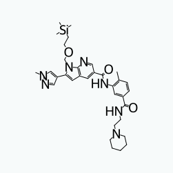 Cc1ccc(C(=O)NCCN2CCCCC2)cc1NC(=O)c1cnc2c(c1)cc(-c1cnn(C)c1)n2COCC[Si](C)(C)C